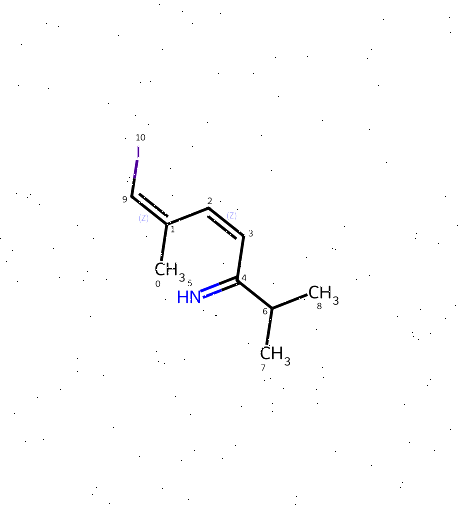 CC(/C=C\C(=N)C(C)C)=C/I